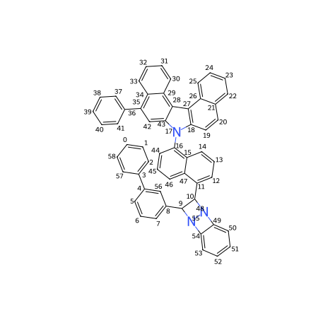 c1ccc(-c2cccc(C3C(c4cccc5c(-n6c7ccc8ccccc8c7c7c8ccccc8c(-c8ccccc8)cc76)cccc45)n4c5ccccc5n43)c2)cc1